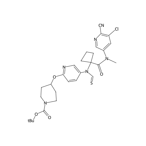 CN(C(=O)C1(N(C=S)c2ccc(OC3CCN(C(=O)OC(C)(C)C)CC3)nc2)CCC1)c1cnc(C#N)c(Cl)c1